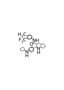 Cc1ccc(NC(=O)C2CC3CCCC3NC2c2ccc(NC3CCCC3)cc2)cc1C(F)(F)F